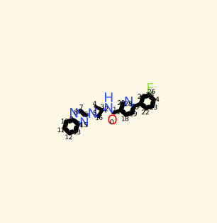 O=C(NC1CN(c2cnc3ccccc3n2)C1)c1ccc(-c2cccc(F)c2)nc1